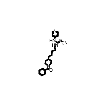 N#C/N=C(\NCCCCCC1CCN(C(=O)c2ccccc2)CC1)Nc1ccncc1